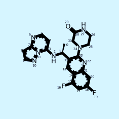 C[C@H](Nc1ccnc2ccnn12)c1cc2c(F)cc(F)cc2nc1N1CCNC(=O)C1